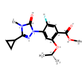 CCn1c(C2CC2)nn(-c2cc(O[C@@H](C)C(F)(F)F)c(C(=O)OC(C)(C)C)cc2F)c1=O